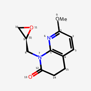 COc1ccc2c(n1)N(C[C@H]1CO1)C(=O)CC2